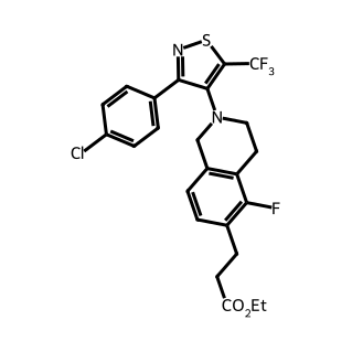 CCOC(=O)CCc1ccc2c(c1F)CCN(c1c(-c3ccc(Cl)cc3)nsc1C(F)(F)F)C2